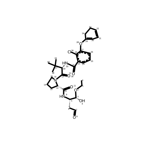 CCO[C@H](O)[C@H](CC=O)NC(=O)[C@@H]1CCCN1C(=O)[C@@H](NC(=O)c1cccc(OC2=CC=CCC2)c1Cl)C(C)(C)C